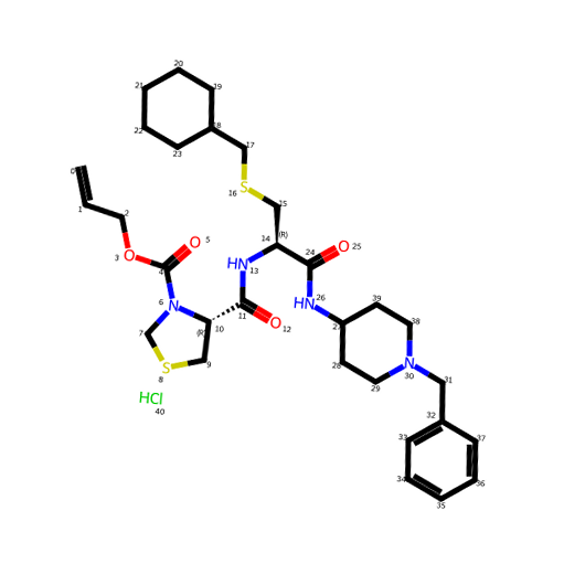 C=CCOC(=O)N1CSC[C@H]1C(=O)N[C@@H](CSCC1CCCCC1)C(=O)NC1CCN(Cc2ccccc2)CC1.Cl